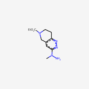 CCOC(=O)N1CCc2nnc(N(C)N)cc2C1